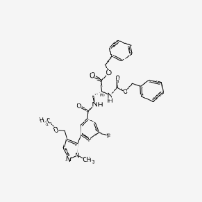 COCc1cnn(C)c1-c1cc(F)cc(C(=O)NC[C@@H](NC(=O)OCc2ccccc2)C(=O)OCc2ccccc2)c1